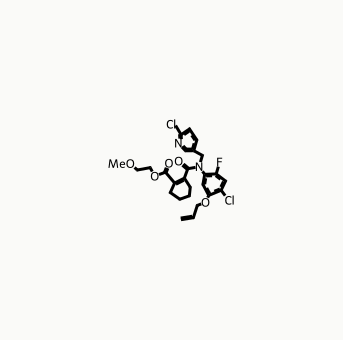 C=CCOc1cc(N(Cc2ccc(Cl)nc2)C(=O)C2=C(C(=O)OCCOC)CCCC2)c(F)cc1Cl